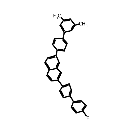 Cc1cc(-c2ccc(-c3ccc4ccc(-c5ccc(-c6ccc(F)cc6)cc5)cc4c3)cc2)cc(C(F)(F)F)c1